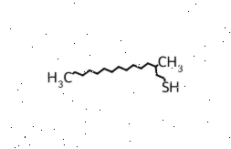 CCCCCCCCCCCCC(C)CCS